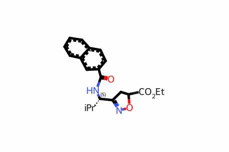 CCOC(=O)C1CC([C@@H](NC(=O)c2ccc3ccccc3c2)C(C)C)=NO1